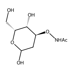 CC(=O)NO[C@H]1CC(O)O[C@H](CO)[C@@H]1O